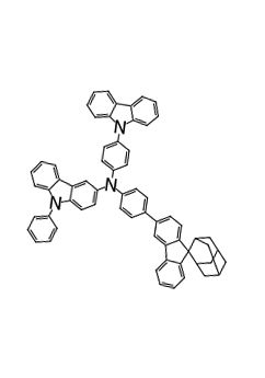 c1ccc(-n2c3ccccc3c3cc(N(c4ccc(-c5ccc6c(c5)-c5ccccc5C65C6CC7CC(C6)CC5C7)cc4)c4ccc(-n5c6ccccc6c6ccccc65)cc4)ccc32)cc1